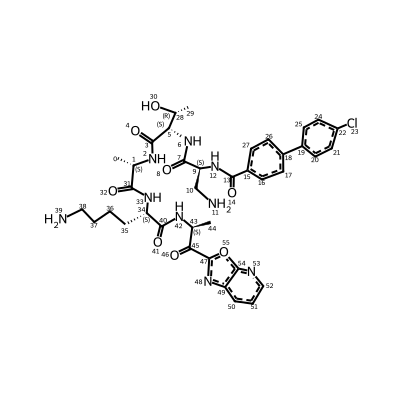 C[C@H](NC(=O)[C@@H](NC(=O)[C@H](CN)NC(=O)c1ccc(-c2ccc(Cl)cc2)cc1)[C@@H](C)O)C(=O)N[C@@H](CCCCN)C(=O)N[C@@H](C)C(=O)c1nc2cccnc2o1